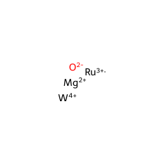 [Mg+2].[O-2].[Ru+3].[W+4]